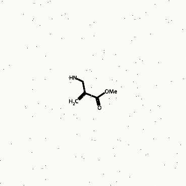 C=C(C[NH])C(=O)OC